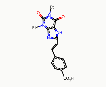 CCn1c(=O)c2[nH]c(/C=C/c3ccc(C(=O)O)cc3)nc2n(CC)c1=O